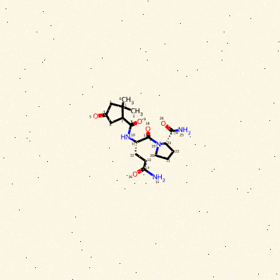 CC1(C)CC(=O)CC1C(=O)N[C@@H](CCC(N)=O)C(=O)N1CCC[C@H]1C(N)=O